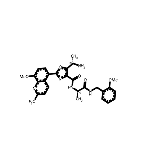 COc1ccccc1CNC(=O)[C@@H](C)NC(=O)c1nc(-c2ccc(OC)c3nc(C(F)(F)F)ccc23)oc1[C@H](C)N